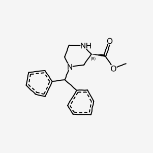 COC(=O)[C@H]1CN(C(c2ccccc2)c2ccccc2)CCN1